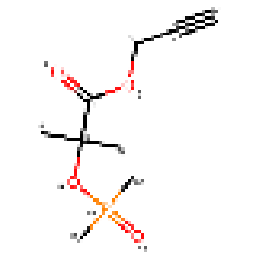 C#CCOC(=O)C(C)(C)OP(C)(C)=O